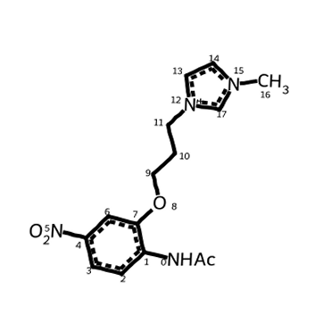 CC(=O)Nc1ccc([N+](=O)[O-])cc1OCCC[n+]1ccn(C)c1